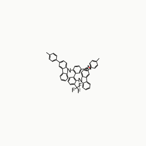 Cc1ccc(-c2ccc3c(c2)c2ccccc2n3-c2ccc(C#N)cc2-c2cccc(C(F)(F)F)c2-n2c3ccccc3c3cc(-c4ccc(C)cc4)ccc32)cc1